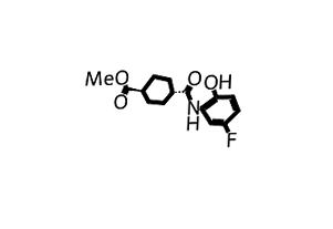 COC(=O)[C@H]1CC[C@H](C(=O)Nc2cc(F)ccc2O)CC1